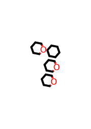 C1CCCCC1.C1CCOCC1.C1CCOCC1.C1CCOCC1